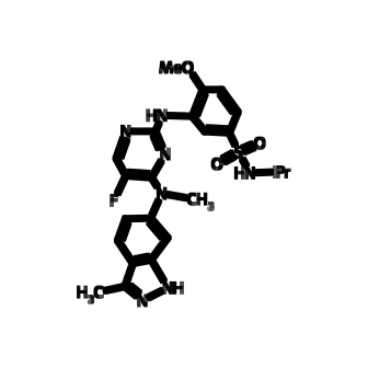 COc1ccc(S(=O)(=O)NC(C)C)cc1Nc1ncc(F)c(N(C)c2ccc3c(C)n[nH]c3c2)n1